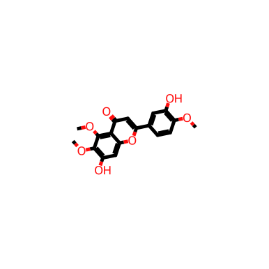 COc1ccc(-c2cc(=O)c3c(OC)c(OC)c(O)cc3o2)cc1O